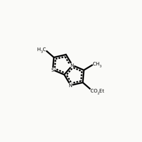 CCOC(=O)c1nc2sc(C)cn2c1C